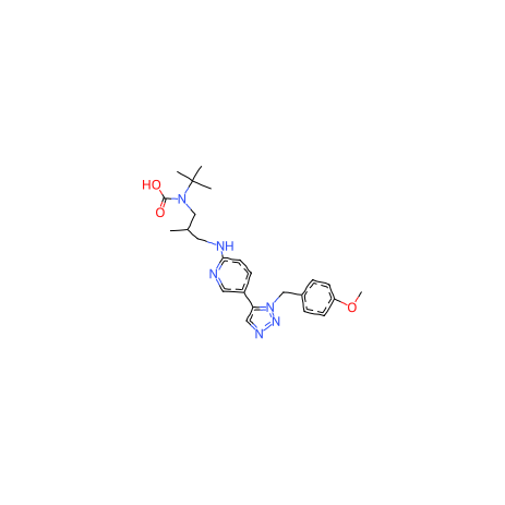 COc1ccc(Cn2nncc2-c2ccc(NCC(C)CN(C(=O)O)C(C)(C)C)nc2)cc1